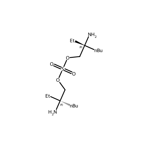 CCCC[C@](N)(CC)COS(=O)(=O)OC[C@@](N)(CC)CCCC